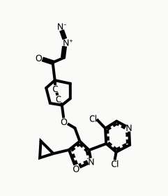 [N-]=[N+]=CC(=O)C12CCC(OCc3c(-c4c(Cl)cncc4Cl)noc3C3CC3)(CC1)CC2